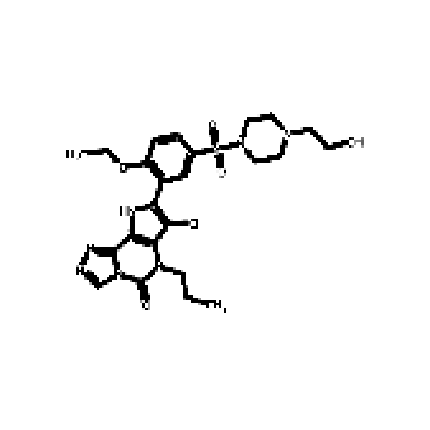 CCCn1c(=O)n2cnnc2c2[nH]c(-c3cc(S(=O)(=O)N4CCN(CCO)CC4)ccc3OCC)c(Cl)c21